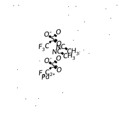 CC#N.CC#N.O=S(=O)([O-])C(F)(F)F.O=S(=O)([O-])C(F)(F)F.[Pd+2]